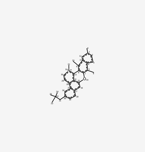 Cc1ccc2c(C)c3c(c(C)c2c1)-c1c2c(cc4ccc(CC(C)(C)C)cc4c2cc[n+]1C)O3